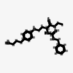 CCOC(=O)[C@H](CCOc1ccc(CCCO)cc1)NC(=O)OCc1ccccc1